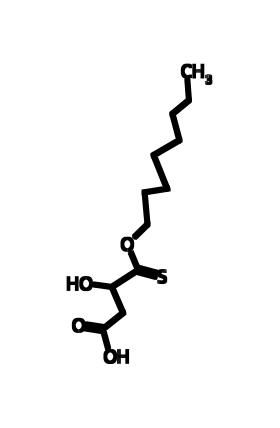 CCCCCCCCOC(=S)C(O)CC(=O)O